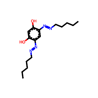 CCCCC/N=N/c1cc(/N=N/CCCCC)c(O)cc1O